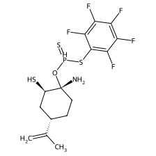 C=C(C)[C@H]1CC[C@@](N)(O[PH](=S)Sc2c(F)c(F)c(F)c(F)c2F)[C@H](S)C1